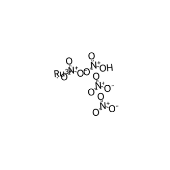 O=[N+]([O-])O.O=[N+]([O-])[O-].O=[N+]([O-])[O-].O=[N+]([O-])[O-].[Ru+3]